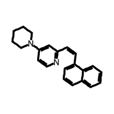 C(=C/c1cccc2ccccc12)/c1cc(N2CCCCC2)ccn1